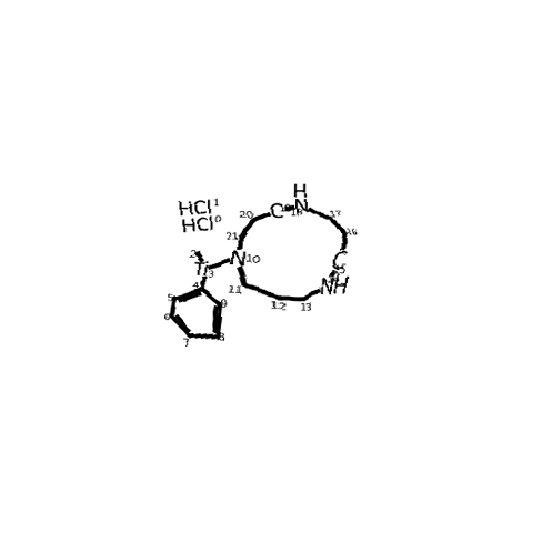 Cl.Cl.[CH3][Ti]([c]1ccccc1)[N]1CCCNCCCNCCC1